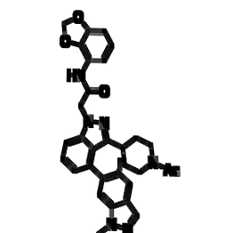 CC(=O)N1CCC(c2nn(CC(=O)Nc3cccc4c3OCO4)c3cccc(-c4cc5c(cnn5C)cc4F)c23)CC1